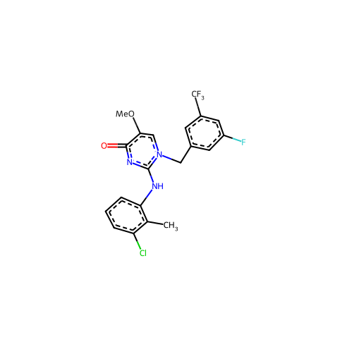 COc1cn(Cc2cc(F)cc(C(F)(F)F)c2)c(Nc2cccc(Cl)c2C)nc1=O